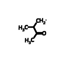 [CH2]C(C)C(C)=O